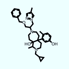 Cc1cnn(CC(COCc2ccccc2)N2CCC3(c4cc(O)ccc4C)CCN(CC4CC4)C(C)C3(O)CC2)c1